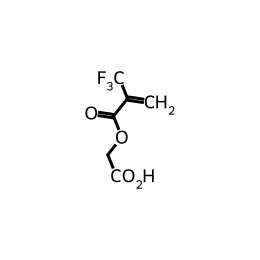 C=C(C(=O)OCC(=O)O)C(F)(F)F